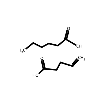 C=CCCC(=O)O.CCCCCC(C)=O